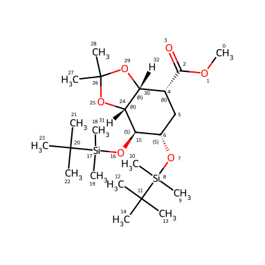 COC(=O)[C@@H]1C[C@H](O[Si](C)(C)C(C)(C)C)[C@@H](O[Si](C)(C)C(C)(C)C)[C@@H]2OC(C)(C)O[C@@H]21